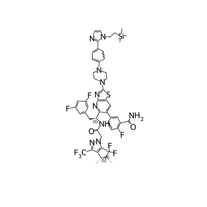 C[C@@H]1c2c(C(F)(F)F)nn(CC(=O)N[C@@H](Cc3cc(F)cc(F)c3)c3nc4nc(N5CCN(c6ccc(-c7nccn7CC[Si](C)(C)C)cc6)CC5)sc4cc3-c3ccc(F)c(C(N)=O)c3)c2C(F)(F)[C@@H]1C